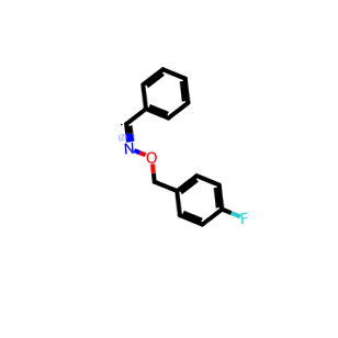 Fc1ccc(CO/N=[C]\c2ccccc2)cc1